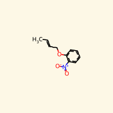 CC=CCOc1ccccc1[N+](=O)[O-]